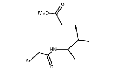 COC(=O)CCC(C)C(C)NC(=O)CC(C)=O